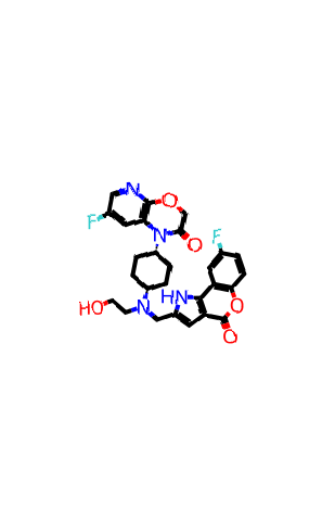 O=C1COc2ncc(F)cc2N1[C@H]1CC[C@H](N(CCO)Cc2cc3c(=O)oc4ccc(F)cc4c3[nH]2)CC1